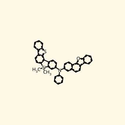 C[Si]1(C)c2cc(N(c3ccccc3)c3ccc4c(ccc5c6ccccc6oc45)c3)ccc2-c2c1ccc1c2sc2ccccc21